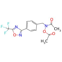 CC(=O)ON(Cc1ccc(-c2noc(C(F)(F)F)n2)cc1)C(C)=O